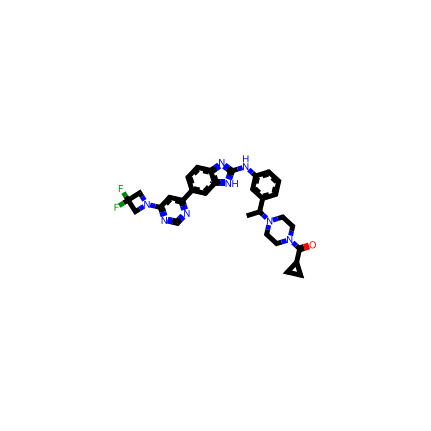 CC(c1cccc(Nc2nc3ccc(-c4cc(N5CC(F)(F)C5)ncn4)cc3[nH]2)c1)N1CCN(C(=O)C2CC2)CC1